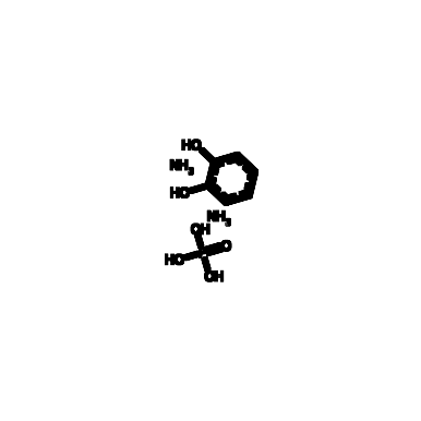 N.N.O=P(O)(O)O.Oc1ccccc1O